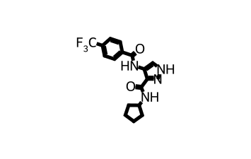 O=C(Nc1c[nH]nc1C(=O)NC1CCCC1)c1ccc(C(F)(F)F)cc1